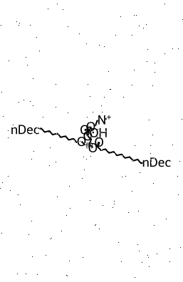 CCCCCCCCCCCCCCCCCCCCCC(=O)O[C@H](COCCCCCCCCCCCCCCCCCCCC)COP(=O)(O)OCC[N+](C)(C)C